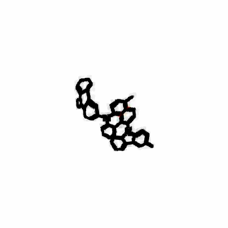 Cc1ccc(N(c2ccc3oc4ccccc4c3c2)c2ccccc2-c2ccccc2-n2c3ccccc3c3cc(C)ccc32)cc1